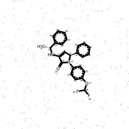 C[C@@H](NC1=C[C@@H](c2ccccc2)N(c2ccc(OC(F)F)cc2)C1=O)c1ccccc1